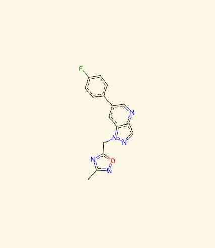 Cc1noc(Cn2ncc3ncc(-c4ccc(F)cc4)cc32)n1